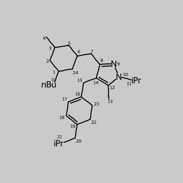 CCCCC1CC(C)CC(Cc2nn(C(C)C)c(C)c2CC2=CC=C(CC(C)C)CC2)C1